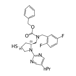 CCCc1cnc(N2C[C@H](S)C[C@H]2CN(Cc2cc(F)ccc2F)C(=O)OCc2ccccc2)nc1